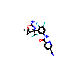 N#Cc1ccc(C(=O)Nc2cc(F)c(F)c([C@@]3(C(F)F)N=C(N)O[C@@H]4CC43)c2)nc1